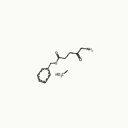 CC(=O)O.NCC(=O)CCC(=O)OCc1ccccc1